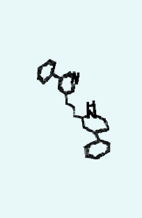 C1=C(c2ccccc2)CC(CCCc2cncc(-c3ccccc3)c2)NC1